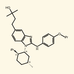 CC(C)Oc1ccc(Nc2nc3cc(CCC(C)(C)O)ccc3n2[C@@H]2C[C@H](C)CC[C@H]2C(C)C)cc1